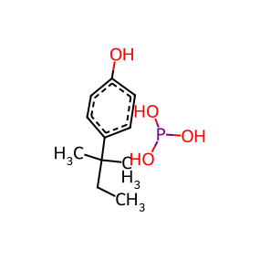 CCC(C)(C)c1ccc(O)cc1.OP(O)O